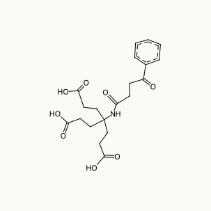 O=C(O)CCC(CCC(=O)O)(CCC(=O)O)NC(=O)CCC(=O)c1ccccc1